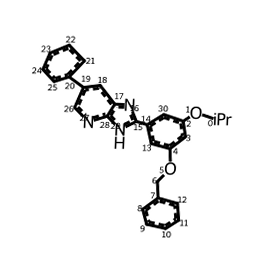 CC(C)Oc1cc(OCc2ccccc2)cc(-c2nc3cc(-c4ccccc4)cnc3[nH]2)c1